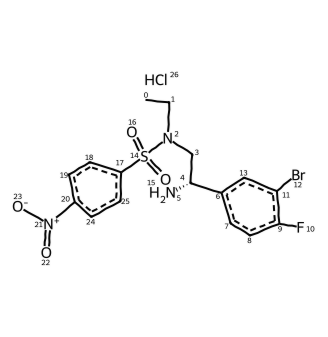 CCN(C[C@@H](N)c1ccc(F)c(Br)c1)S(=O)(=O)c1ccc([N+](=O)[O-])cc1.Cl